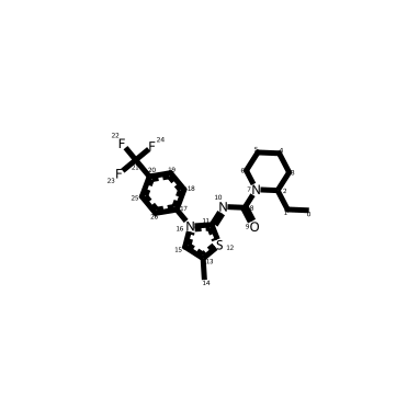 CCC1CCCCN1C(=O)N=c1sc(C)cn1-c1ccc(C(F)(F)F)cc1